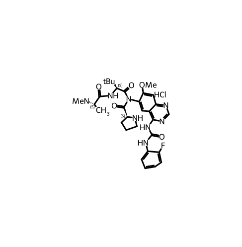 CN[C@@H](C)C(=O)N[C@H](C(=O)N(C(=O)[C@@H]1CCCN1)c1cc2c(NC(=O)Nc3ccccc3F)ncnc2cc1OC)C(C)(C)C.Cl